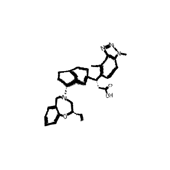 CC[C@@H]1CN([C@@H]2CCc3ccc([C@@H](CC(=O)O)c4ccc5c(nnn5C)c4C)cc32)Cc2ccccc2O1